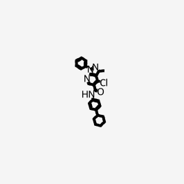 Cc1nn(-c2ccccc2)c2ncc(C(=O)Nc3ccc(C4CCCCC4)cc3)c(Cl)c12